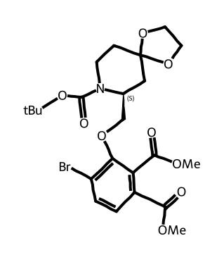 COC(=O)c1ccc(Br)c(OC[C@@H]2CC3(CCN2C(=O)OC(C)(C)C)OCCO3)c1C(=O)OC